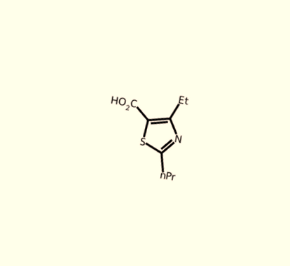 CCCc1nc(CC)c(C(=O)O)s1